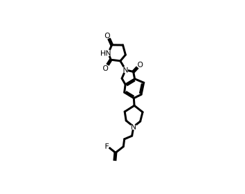 C=C(F)CCCN1CCC(c2ccc3c(c2)CN(C2CCC(=O)NC2=O)C3=O)CC1